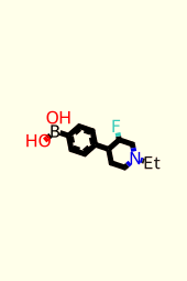 CCN1CCC(c2ccc(B(O)O)cc2)C(F)C1